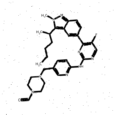 CCCCC(C)c1c2cc(-c3nc(Nc4ccc(CN5CCN(C=O)CC5)cn4)ncc3F)ccc2nn1C